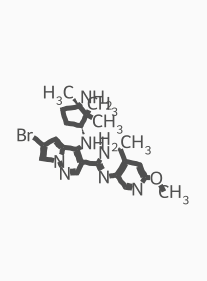 CCc1cc(OC)ncc1/N=C(\N)c1cnn2cc(Br)cc2c1N[C@@H]1CC[C@](C)(N)C1(C)C